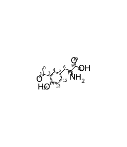 CC(=O)c1cc(C[C@H](N)C(=O)O)ccc1O